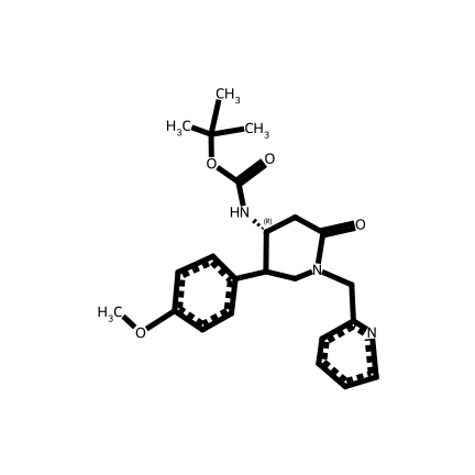 COc1ccc(C2CN(Cc3ccccn3)C(=O)C[C@H]2NC(=O)OC(C)(C)C)cc1